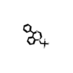 FC(F)(F)CN1C=CN=C(c2ccccc2)c2ccccc21